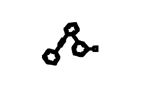 Clc1cccc(-c2ccccc2C#Cc2ccccc2)c1